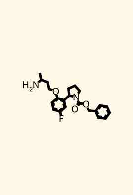 CC(N)CCOc1ccc(F)cc1C1CCCN1C(=O)OCc1ccccc1